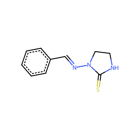 S=C1NCCN1N=Cc1ccccc1